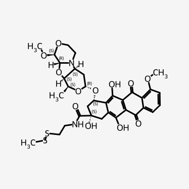 COc1cccc2c1C(=O)c1c(O)c3c(c(O)c1C2=O)C[C@@](O)(C(=O)NCCSSC)C[C@@H]3O[C@H]1C[C@H]2[C@H](O[C@@H]3[C@@H](OC)OCCN32)[C@H](C)O1